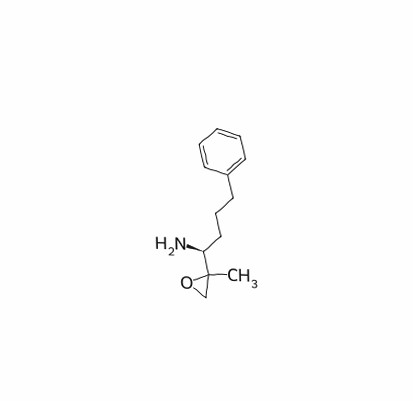 CC1([C@@H](N)CCCc2ccccc2)CO1